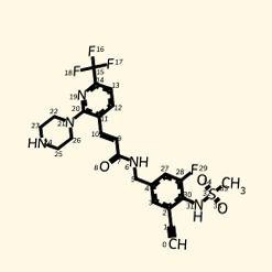 C#Cc1cc(CNC(=O)/C=C/c2ccc(C(F)(F)F)nc2N2CCNCC2)cc(F)c1NS(C)(=O)=O